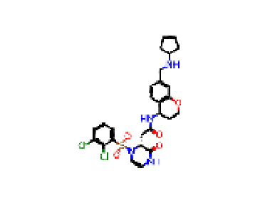 O=C(C[C@@H]1C(=O)NC=CN1S(=O)(=O)c1cccc(Cl)c1Cl)N[C@@H]1CCOc2cc(CNC3CCCC3)ccc21